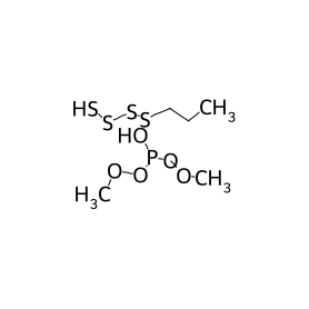 CCCSSSS.COOP(O)OOC